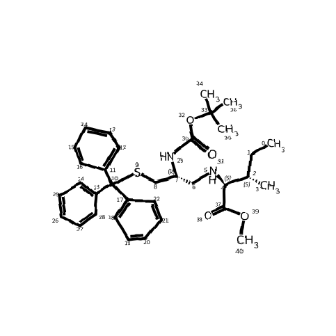 CC[C@H](C)[C@H](NC[C@H](CSC(c1ccccc1)(c1ccccc1)c1ccccc1)NC(=O)OC(C)(C)C)C(=O)OC